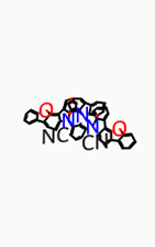 N#Cc1cc(C#N)c(-n2c3ccccc3c3c4oc5ccccc5c4ccc32)c(-n2c3ccccc3c3ccccc32)c1-n1c2ccccc2c2c3oc4ccccc4c3ccc21